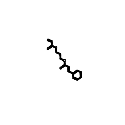 C=CC(=O)OCCCOC(=O)/C=C/c1ccccc1